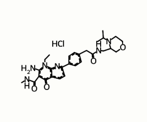 CCn1c(N)c(C(=O)NC)c(=O)c2ccc(-c3ccc(CC(=O)NCC4COCCN4C(C)C)cc3)nc21.Cl